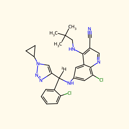 [2H]C(Nc1cc(Cl)c2ncc(C#N)c(NCC(C)(C)C)c2c1)(c1cn(C2CC2)nn1)c1ccccc1Cl